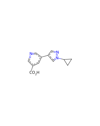 O=C(O)c1cncc(-c2cnn(C3CC3)c2)c1